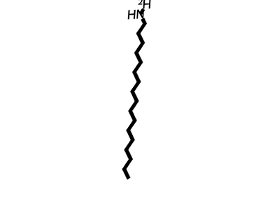 [2H]NCCCCCCCCCCCCCCCCC